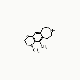 Cc1c2c(cc3c1N(C)CCO3)CCNCC2